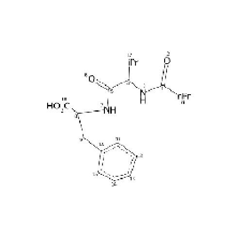 CCCC(=O)NC(C(=O)NC(Cc1ccccc1)C(=O)O)C(C)C